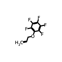 C=CCOc1c(F)c(F)c(F)c(F)c1F